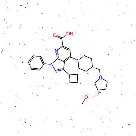 COC[C@H]1CCN(CC2CCN(c3cc(C(=O)O)nc4c3c(C3CCC3)nn4-c3ccccc3)CC2)C1